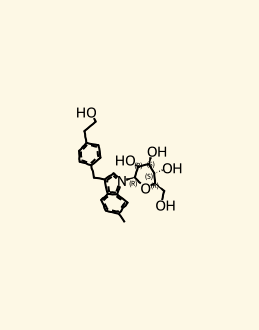 Cc1ccc2c(Cc3ccc(CCO)cc3)cn([C@@H]3O[C@H](CO)[C@@H](O)[C@H](O)[C@H]3O)c2c1